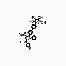 COC(CCC(O)c1ccc(F)cc1)C(c1ccc(-c2ccc(C3OC(CO)C(O)C(O)C3O)cc2)cc1O)N(C)c1ccccc1